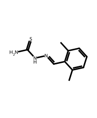 Cc1cccc(C)c1/C=N/NC(N)=S